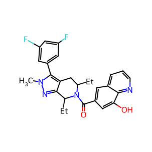 CCC1Cc2c(nn(C)c2-c2cc(F)cc(F)c2)C(CC)N1C(=O)c1cc(O)c2ncccc2c1